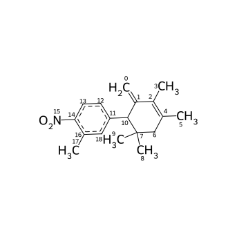 C=C1C(C)=C(C)CC(C)(C)C1c1ccc([N+](=O)[O-])c(C)c1